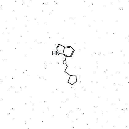 c1cc(OCCC2CCCC2)c2[nH]ccc2c1